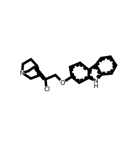 Cl/C(COc1ccc2c(c1)[nH]c1ccccc12)=C1\CN2CCC1CC2